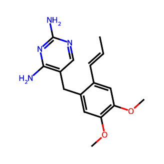 CC=Cc1cc(OC)c(OC)cc1Cc1cnc(N)nc1N